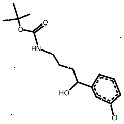 CC(C)(C)OC(=O)NCCCC(O)c1cccc(Cl)c1